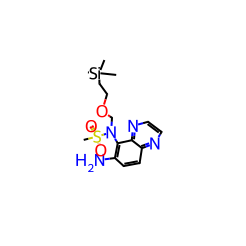 C[Si](C)(C)CCOCN(c1c(N)ccc2nccnc12)S(C)(=O)=O